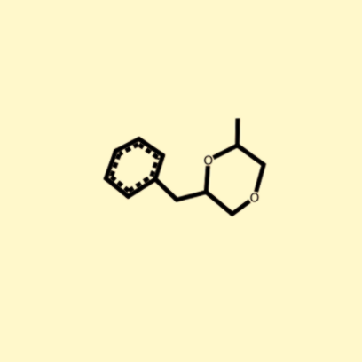 CC1COCC(Cc2ccccc2)O1